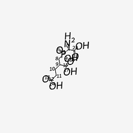 NC(C(=O)O)P(=O)(O)CC(CCC(=O)O)C(=O)O